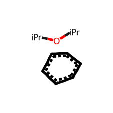 CC(C)OC(C)C.c1ccccc1